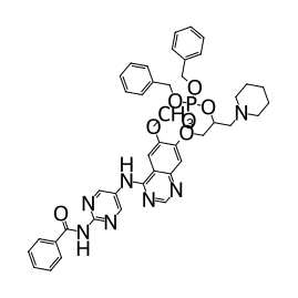 COc1cc2c(Nc3cnc(NC(=O)c4ccccc4)nc3)ncnc2cc1OCC(CN1CCCCC1)OP(=O)(OCc1ccccc1)OCc1ccccc1